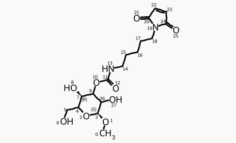 CO[C@H]1OC(CO)[C@@H](O)C(OC(=O)NCCCCCN2C(=O)C=CC2=O)C1O